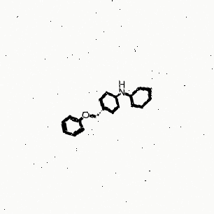 c1ccc(OC[C@H]2CC[C@H](NC3CCCCC3)CC2)cc1